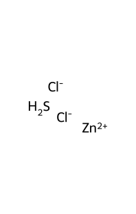 S.[Cl-].[Cl-].[Zn+2]